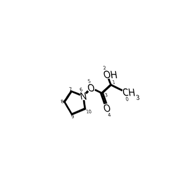 CC(O)C(=O)ON1CCCC1